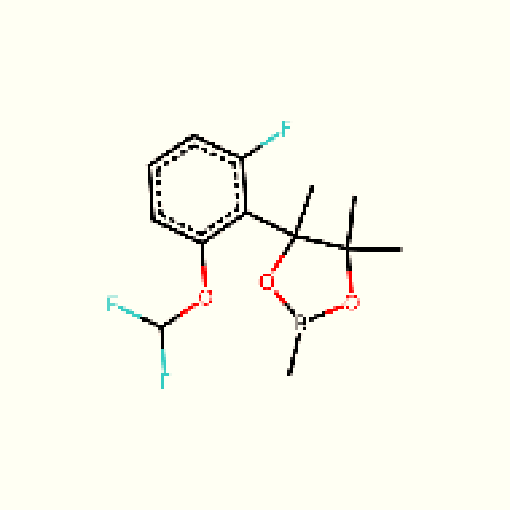 CB1OC(C)(C)C(C)(c2c(F)cccc2OC(F)F)O1